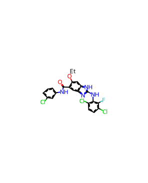 CCOc1cc2[nH]c(Nc3c(Cl)ccc(Cl)c3F)nc2cc1C(=O)Nc1cccc(Cl)c1